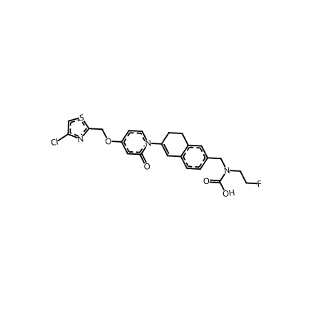 O=C(O)N(CCF)Cc1ccc2c(c1)CCC(n1ccc(OCc3nc(Cl)cs3)cc1=O)=C2